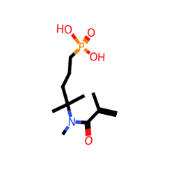 C=C(C)C(=O)N(C)C(C)(C)CCCP(=O)(O)O